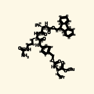 CC(C)C[C@H](NC(=O)OCc1ccc(NC(=O)[C@H](CCCNC(N)=O)NC(=O)[C@@H](NC(=O)OCC2c3ccccc3-c3ccccc32)C(C)C)cc1)C(=O)OC(C)(C)C